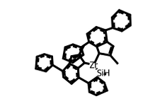 CC1=Cc2c(-c3ccccc3)ccc(-c3ccccc3)c2[CH]1[Zr]([CH]1C(C)=Cc2c(-c3ccccc3)ccc(-c3ccccc3)c21)[SiH](C)C